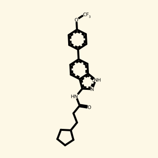 O=C(CCC1CCCC1)Nc1n[nH]c2cc(-c3ccc(OC(F)(F)F)cc3)ccc12